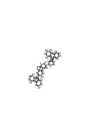 c1cc(-c2ccc3oc4cc(-n5c6ccccc6c6ccccc65)ccc4c3c2)cc(-n2c3ccccc3c3ccccc32)c1